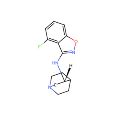 Fc1cccc2onc(N[C@H]3CN4CCC3CC4)c12